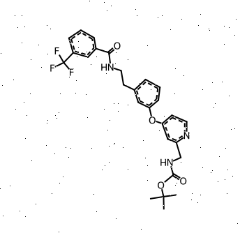 CC(C)(C)OC(=O)NCc1cc(Oc2cccc(CCNC(=O)c3cccc(C(F)(F)F)c3)c2)ccn1